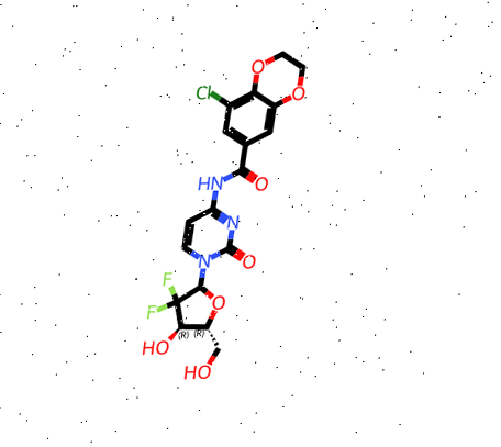 O=C(Nc1ccn(C2O[C@H](CO)[C@@H](O)C2(F)F)c(=O)n1)c1cc(Cl)c2c(c1)OCCO2